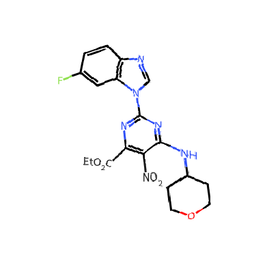 CCOC(=O)c1nc(-n2cnc3ccc(F)cc32)nc(NC2CCOCC2)c1[N+](=O)[O-]